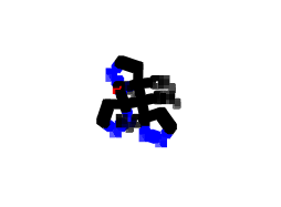 CC1(C([SiH3])(C2(C)C=CN=N2)C2(C)C=CN=N2)C=CN=N1